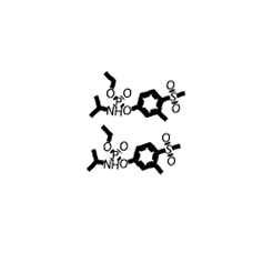 CCOP(=O)(NC(C)C)Oc1ccc(S(C)(=O)=O)c(C)c1.CCOP(=O)(NC(C)C)Oc1ccc(S(C)(=O)=O)c(C)c1